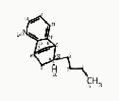 CCCC[C@H]1CC2C=CC1c1cccnc12